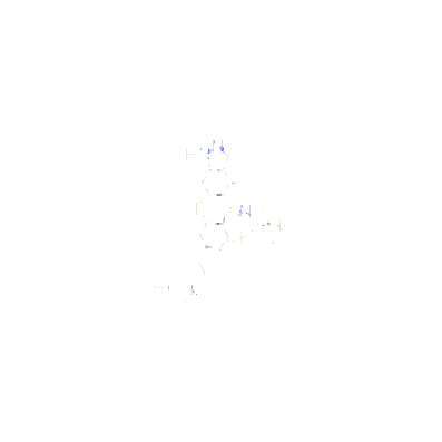 C[C@H]1Cc2c(ccc3[nH]ncc23)[C@H](c2c(F)cc(/C=C/C(=O)O)cc2F)N1CC(C)(C)F